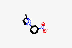 Cc1ccn(-c2cccc([N+](=O)[O-])c2)n1